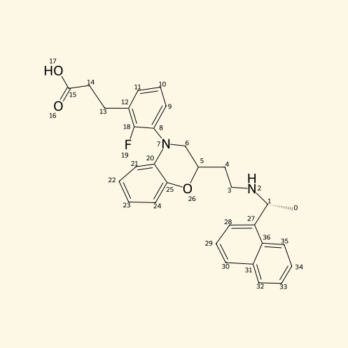 C[C@@H](NCCC1CN(c2cccc(CCC(=O)O)c2F)c2ccccc2O1)c1cccc2ccccc12